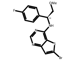 COC[C@@H](Nc1ncnc2cc(Br)sc12)c1ccc(F)cc1